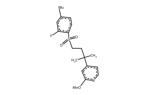 COc1cc(C(C)(C)CCS(=O)(=O)c2ccc(C(C)(C)C)cc2F)ccn1